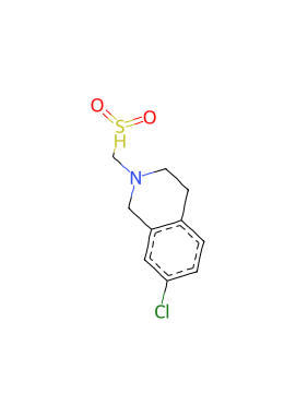 O=[SH](=O)CN1CCc2ccc(Cl)cc2C1